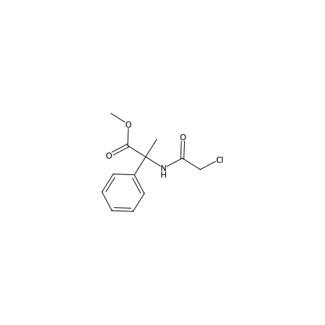 COC(=O)C(C)(NC(=O)CCl)c1ccccc1